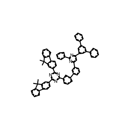 CC1(C)c2ccccc2-c2ccc(-c3nc(-c4cccc(-c5cccc(-c6cc(-c7cc(-c8ccccc8)cc(-c8ccccc8)c7)nc(-c7ccccc7)n6)c5)c4)nc(-c4ccc5c(c4)C(C)(C)c4ccccc4-5)n3)cc21